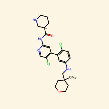 COC1(CNc2ccc(Cl)c(-c3cc(NC(=O)[C@@H]4CCCNC4)ncc3Cl)c2)CCOCC1